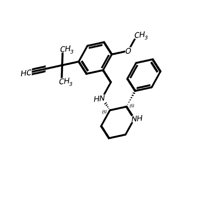 C#CC(C)(C)c1ccc(OC)c(CN[C@H]2CCCN[C@H]2c2ccccc2)c1